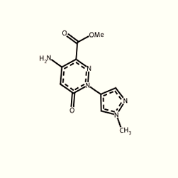 COC(=O)c1nn(-c2cnn(C)c2)c(=O)cc1N